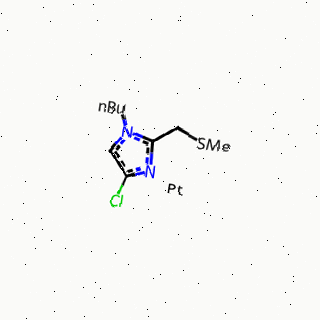 CCCCn1cc(Cl)nc1CSC.[Pt]